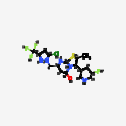 Cc1sc2nc(Cn3nc(C(F)(F)F)cc3Cl)cc(=O)n2c1-c1cncc(F)c1